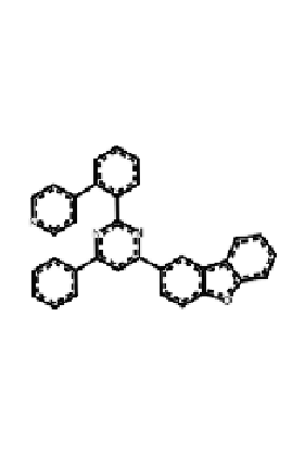 c1ccc(-c2cc(-c3ccc4oc5ccccc5c4c3)nc(-c3ccccc3-c3ccncc3)n2)cc1